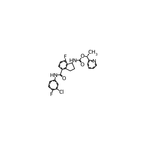 C[C@H](OC(=O)N[C@H]1CCc2c(C(=O)Nc3ccc(F)c(Cl)c3)ccc(F)c21)c1ccccn1